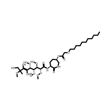 CCCCCCCCCCCOCC(=O)O[C@@H]1CC[C@H](NC(=O)[C@H](OOC)[C@H](OO)[C@H](OO)[C@@H](OO)/C(O)=C(\O)C(C)(CO)OC)C(=O)NC1